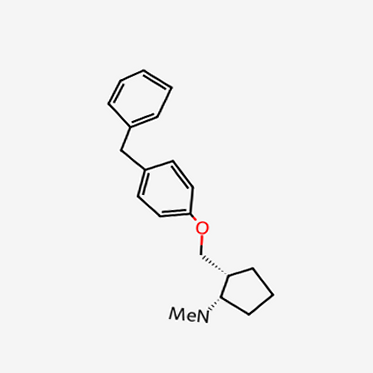 CN[C@H]1CCC[C@H]1COc1ccc(Cc2ccccc2)cc1